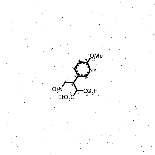 CCOC(=O)C(C(=O)O)C(C[N+](=O)[O-])c1ccc(OC)nc1